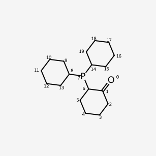 O=C1CCCCC1P(C1CCCCC1)C1CCCCC1